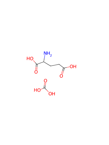 NC(CCC(=O)O)C(=O)O.O=C(O)O